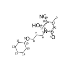 Cc1cc(=O)n(CCCOC2CCCCC2)c(O)c1C#N